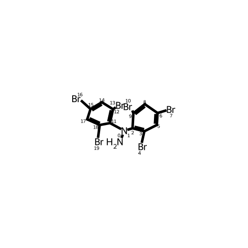 NN(c1c(Br)cc(Br)cc1Br)c1c(Br)cc(Br)cc1Br